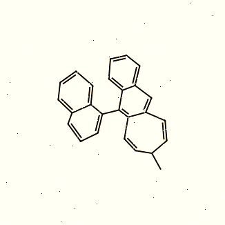 CC1C=Cc2cc3ccccc3c(-c3cccc4ccccc34)c2C=C1